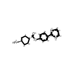 CCC[C@H]1CC[C@H](C(=O)Oc2ccc(-c3nc[c]cn3)cc2)CC1